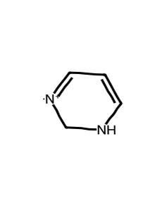 C1=CNC[N+]=C1